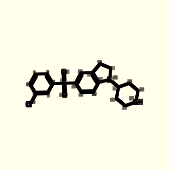 O=S(=O)(c1cccc(Cl)c1)c1ccc2c(c1)CCN2C1CCNCC1